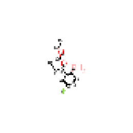 Bc1ccc(F)cc1[C@@H](CC)OCOCC